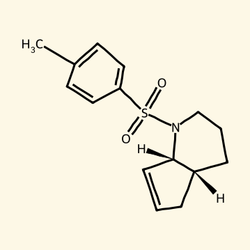 Cc1ccc(S(=O)(=O)N2CCC[C@@H]3CC=C[C@@H]32)cc1